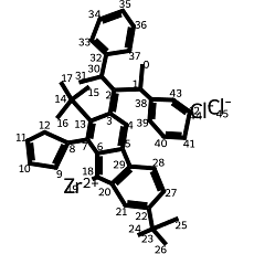 CC(C(=c1cc2c(c(C3=CC=CC3)c1C(C)(C)C)=[C]([Zr+2])c1cc(C(C)(C)C)ccc1-2)C(C)c1ccccc1)c1ccccc1.[Cl-].[Cl-]